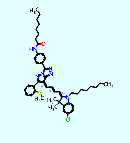 CCCCCCCCN1/C(=C/C=C/C=c2/c(-c3ccccc3SC)nn3c(-c4ccc(NC(=O)CCCCCCC)cc4)nnc23)C(C)(C)c2cc(Cl)ccc21